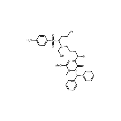 CCC(CCC[C@@H](CO)N(CCC(C)C)S(=O)(=O)c1ccc(N)cc1)NC(=O)[C@H](C(c1ccccc1)c1ccccc1)N(C)C(=O)OC